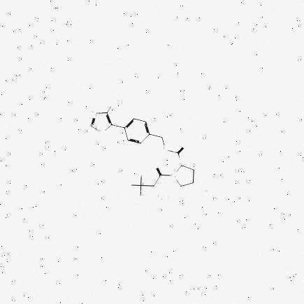 Cc1ncsc1-c1ccc(CNC(=O)[C@H]2C[C@H](O)CN2C(=O)[C@H](N)C(C)(C)C)cc1.Cl